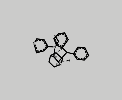 CCN(c1ccncc1)[C@@H]1C2CCN(CC2)[C@@H]1C(c1ccccc1)c1ccccc1